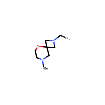 CC(C)(C)N1CCOC2(CN(CC(F)(F)F)C2)C1